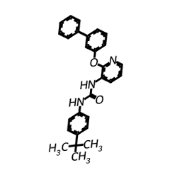 CC(C)(C)c1ccc(NC(=O)Nc2cccnc2Oc2cccc(-c3ccccc3)c2)cc1